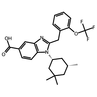 C[C@H]1C[C@@H](n2c(Cc3ccccc3OC(F)(F)F)nc3cc(C(=O)O)ccc32)CC(C)(C)C1